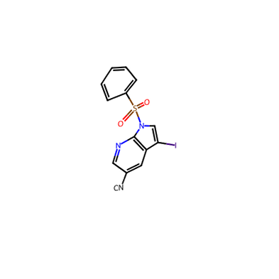 [C-]#[N+]c1cnc2c(c1)c(I)cn2S(=O)(=O)c1ccccc1